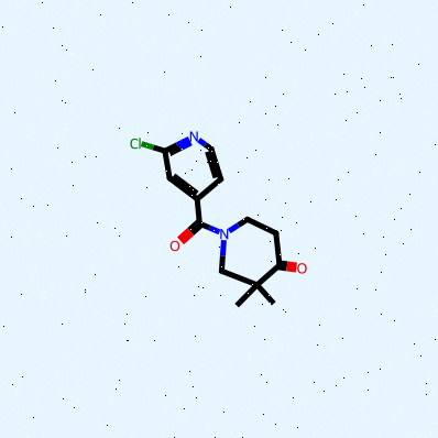 CC1(C)CN(C(=O)c2ccnc(Cl)c2)CCC1=O